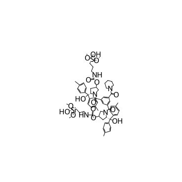 CO[Si](O)(CCCNC(=O)O[C@@H]1C[C@@H](C(O)(c2ccc(C)cc2)c2ccc(C)cc2)N(C(=O)c2cc(C(=O)N3CCCCC3)cc(C(=O)N3C[C@H](OC(=O)NCCC[Si](O)(OC)OC)C[C@H]3C(O)(c3ccc(C)cc3)c3ccc(C)cc3)c2)C1)OC